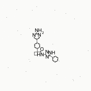 Nc1ncc(-c2ccc(C3(C(=O)Nc4n[nH]c(-c5ccccc5)n4)CCC3)cc2)cn1